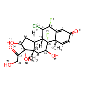 C[C@]12C=CC(=O)C=C1C(F)C(Cl)[C@H]1[C@@H]3CC(O)[C@](O)(C(=O)CO)[C@@]3(C)CC(O)[C@@]12F